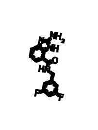 Nc1nc2cccc(C(=O)NCc3cc(F)cc(F)c3)c2[nH]1